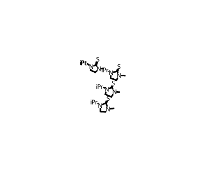 CC(C)N1CCN(C)C1=S.CC(C)N1CCN(C)C1=S.CC(C)N1CCN(C)C1=S.CC(C)N1CCN(C)C1=S.[Pt]